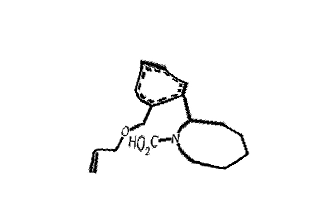 C=CCOCc1ccccc1C1CCCCCN1C(=O)O